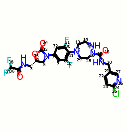 O=C(NC[C@H]1CN(c2cc(F)c(N3CCNN(C(=O)NCc4ccc(Cl)nc4)CC3)c(F)c2)C(=O)O1)C(F)F